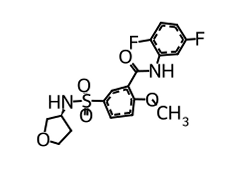 COc1ccc(S(=O)(=O)N[C@H]2CCOC2)cc1C(=O)Nc1cc(F)ccc1F